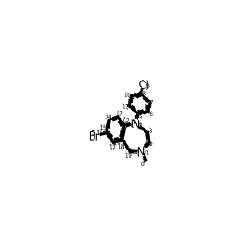 CN1CCN(c2ccc(Cl)cc2)c2ccc(Br)cc2C1